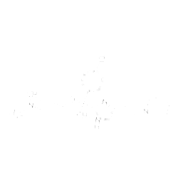 CN(C)CCCOC(C)(c1ccc(Cl)cc1)c1nc(CCN2CCCCC2)c[nH]1